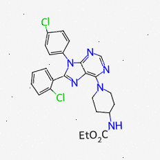 CCOC(=O)NC1CCN(c2ncnc3c2nc(-c2ccccc2Cl)n3-c2ccc(Cl)cc2)CC1